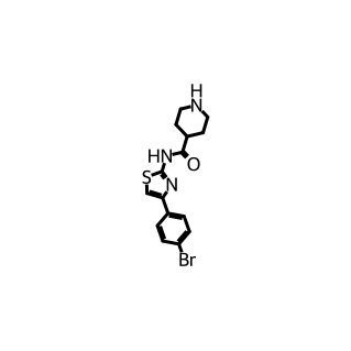 O=C(Nc1nc(-c2ccc(Br)cc2)cs1)C1CCNCC1